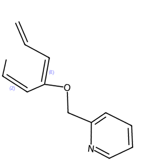 C=C/C=C(\C=C/C)OCc1ccccn1